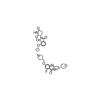 O=C1CCC(N2C(=O)c3cccc(O[C@H]4C[C@@H](CN5CCC(COc6cc(F)c7c(=O)[nH]c(CSC8CCOCC8)nc7c6)CC5)C4)c3C2=O)C(=O)N1